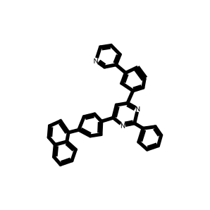 c1cc(-c2cc(-c3ccc(-c4cccc5ccccc45)cc3)nc(-c3ccccc3)n2)cc(-c2cccnc2)c#1